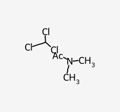 CC(=O)N(C)C.ClC(Cl)Cl